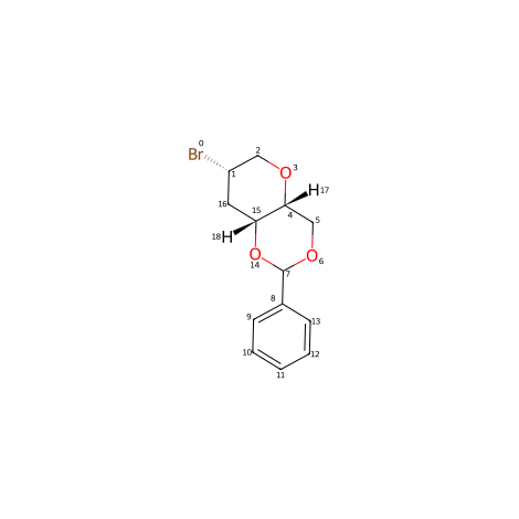 Br[C@@H]1CO[C@@H]2COC(c3ccccc3)O[C@@H]2C1